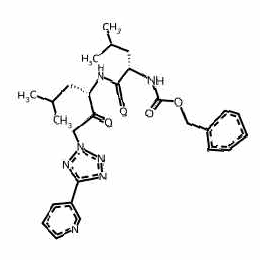 CC(C)C[C@H](NC(=O)[C@H](CC(C)C)NC(=O)OCc1ccccc1)C(=O)Cn1nnc(-c2cccnc2)n1